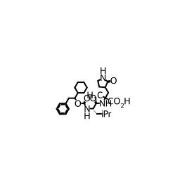 CC(C)C[C@H](NC(=O)OC(Cc1ccccc1)C1CCCCC1)C(=O)NC(C)(CC1CCNC1=O)C(=O)O